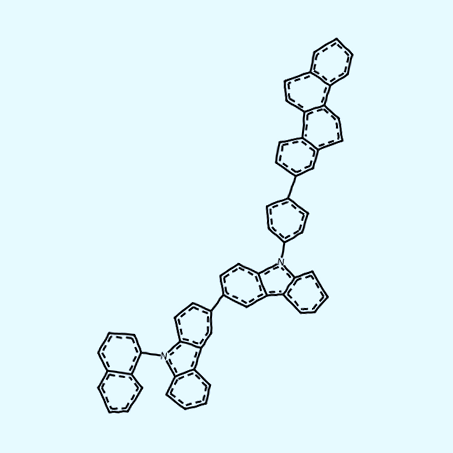 c1ccc2c(-n3c4ccccc4c4cc(-c5ccc6c(c5)c5ccccc5n6-c5ccc(-c6ccc7c(ccc8c9ccccc9ccc78)c6)cc5)ccc43)cccc2c1